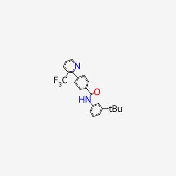 CC(C)(C)c1cccc(NC(=O)c2ccc(-c3ncccc3C(F)(F)F)cc2)c1